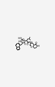 CC(C)CC(NC(=O)C(Cc1cccc2ccccc12)NC(=O)O)C(=O)NC(C=O)CC1CCCNC1=O